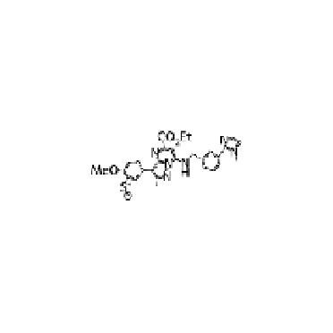 CCOC(=O)c1cc(NCc2cccc(-c3nccn3C)c2)n2nc(C)c(-c3ccc(OC)c([S+]=O)c3)c2n1